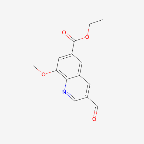 CCOC(=O)c1cc(OC)c2ncc(C=O)cc2c1